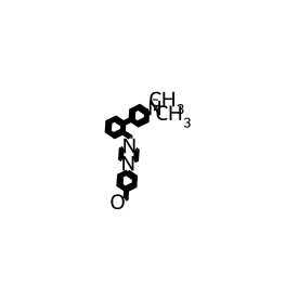 CN(C)c1ccc(-c2ccccc2CN2CCN(c3ccc(C=O)cc3)CC2)cc1